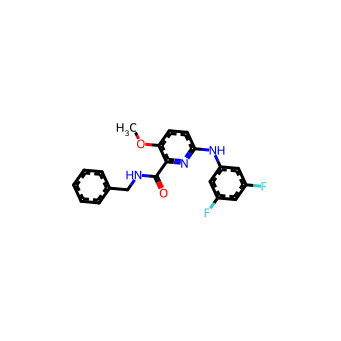 COc1ccc(Nc2cc(F)cc(F)c2)nc1C(=O)NCc1ccccc1